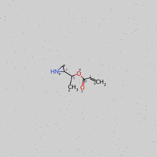 C=CC(=O)OC(C)C1CN1